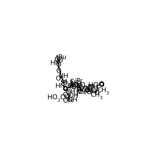 CC[C@H](C)[C@@H]([C@@H](CC(=O)N1CCC[C@H]1[C@H](OC)[C@@H](C)C(=O)N[C@H](C)[C@@H](O)c1ccccc1)OC)N(C)C(=O)[C@@H](NC(=O)[C@H](C(C)C)N(C)C(=O)OCc1cc(NC(=O)CCC(=O)NCCOCCONC(=O)OC(C)(C)C)ccc1O[C@@H]1OC(C(=O)O)[C@@H](O)C(O)C1O)C(C)C